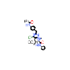 CC(C)C(=O)Nc1ccc(Cc2nc(Cl)c(CC(=O)O)c(N(C)CC(=O)NC3CCCC3)n2)cc1